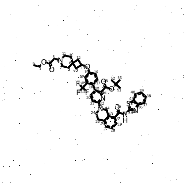 CCOC(=O)CN1CCC2(CC1)CC(Oc1ccc(-c3ccc(N4CCc5cccc(C(=O)Nc6nc7ccccc7s6)c5C4)nc3C(=O)OC(C)(C)C)c(C(F)(F)F)c1)C2